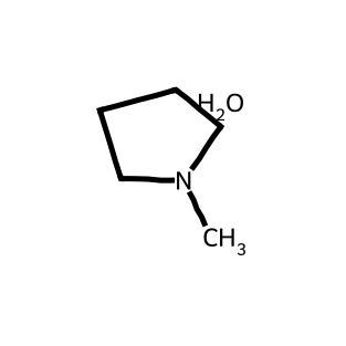 CN1CCCC1.O